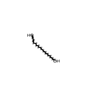 OC#CC#CCCCCCCCCCCCCCCCCCCO